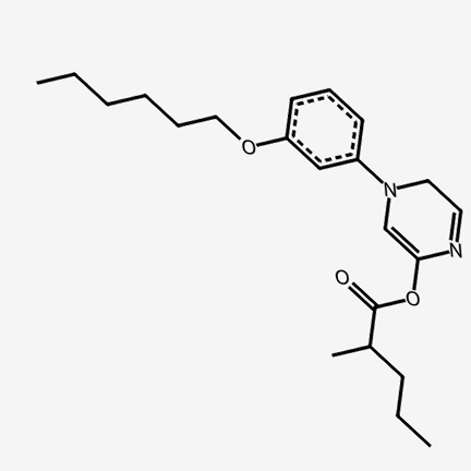 CCCCCCOc1cccc(N2C=C(OC(=O)C(C)CCC)N=CC2)c1